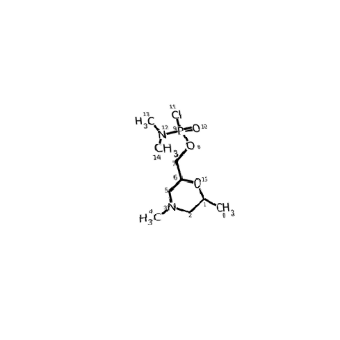 CC1CN(C)CC(COP(=O)(Cl)N(C)C)O1